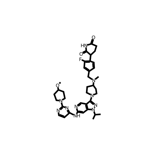 COC1CCN(c2nccc(Nc3cc4c(cn3)c(N3CCC(N(C)Cc5ccc(C6CCC(=O)NC6=O)c(F)c5)CC3)nn4C(C)C)n2)CC1